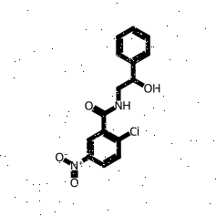 O=C(NCC(O)c1ccccc1)c1cc([N+](=O)[O-])ccc1Cl